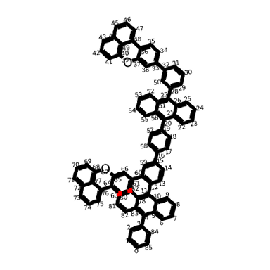 c1ccc(-c2c3ccccc3c(-c3ccc(-c4ccc(-c5c6ccccc6c(-c6cccc(-c7ccc8c(c7)Oc7cccc9cccc-8c79)c6)c6ccccc56)cc4)cc3-c3ccc4c(c3)Oc3cccc5cccc-4c35)c3ccccc23)cc1